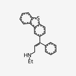 CCNCC=C(c1ccccc1)c1ccc2sc3ccccc3c2c1